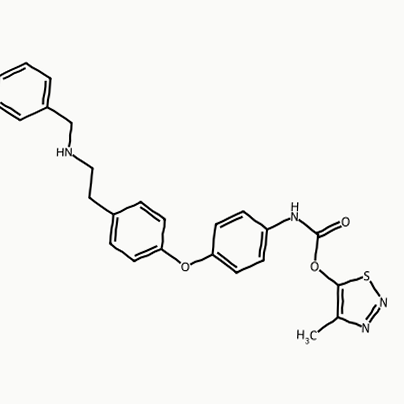 Cc1nnsc1OC(=O)Nc1ccc(Oc2ccc(CCNCc3ccccc3)cc2)cc1